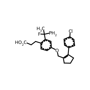 CC(F)(P)c1cc(OCC2=C(c3ccc(Cl)cc3)CCC2)ccc1CCC(=O)O